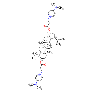 C=C(C)[C@@H]1CC[C@]2(COC(=O)CC[n+]3ccc(N(C)C)cc3)CC[C@]3(C)C(CCC4[C@@]5(C)CC[C@H](OC(=O)CC[n+]6ccc(N(C)C)cc6)C(C)(C)C5CC[C@]43C)C12